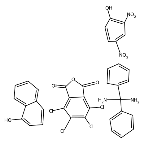 NC(N)(c1ccccc1)c1ccccc1.O=C1OC(=O)c2c(Cl)c(Cl)c(Cl)c(Cl)c21.O=[N+]([O-])c1ccc(O)c([N+](=O)[O-])c1.Oc1cccc2ccccc12